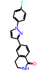 O=C1NCCc2cc(-c3ccn(-c4ccc(F)cc4)n3)ccc21